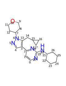 c1cc(-c2cnn(C3CCOCC3)c2CC2CC2)nc(NC2CCCCC2)n1